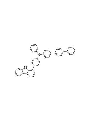 c1ccc(-c2ccc(-c3ccc(N(c4ccccc4)c4ccc(-c5cccc6c5oc5ccccc56)cc4)cc3)cc2)cc1